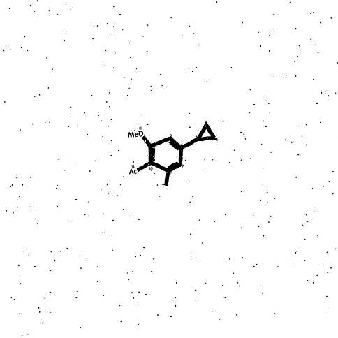 COc1cc(C2CC2)cc(C)c1C(C)=O